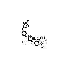 Cc1c(Oc2ccc(CC3COS(=O)OC3)cc2)ncnc1O[C@H]1CCN(C(=O)O)[C@@H](C(C)(C)C)C1